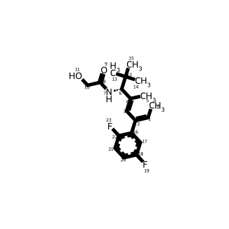 C/C=C(\C=C(/C)[C@H](NC(=O)CO)C(C)(C)C)c1cc(F)ccc1F